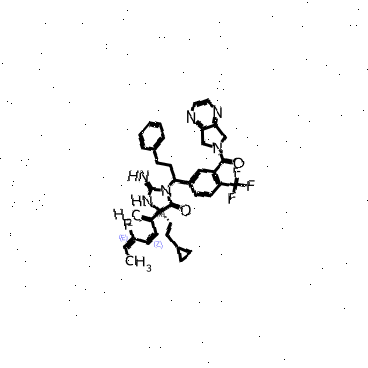 C=C(/C=C\C(F)=C/C)[C@@]1(CCC2CC2)NC(=N)N(C(CCc2ccccc2)c2ccc(C(F)(F)F)c(C(=O)N3Cc4nccnc4C3)c2)C1=O